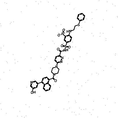 O=C(NS(=O)(=O)c1ccc(NCCSc2ccccc2)c([N+](=O)[O-])c1)c1ccc(N2CCN(C(=O)c3ccc(-c4cncc(O)c4)c4ccccc34)CC2)nn1